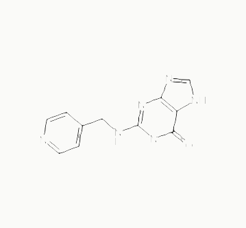 O=c1[nH]c(NCc2ccncc2)nc2nc[nH]c12